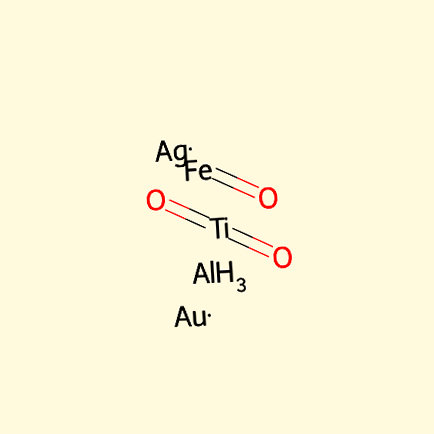 [Ag].[AlH3].[Au].[O]=[Fe].[O]=[Ti]=[O]